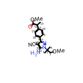 COCC(C)(C)n1nc(-c2ccc(C(C)C(=O)OC)cc2)c(C#N)c1N